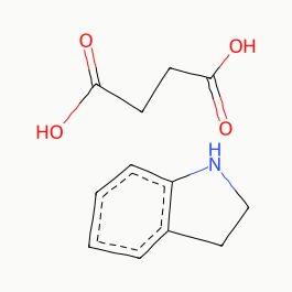 O=C(O)CCC(=O)O.c1ccc2c(c1)CCN2